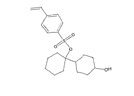 C=Cc1ccc(S(=O)(=O)OC2(C3CCC(O)CC3)CCCCC2)cc1